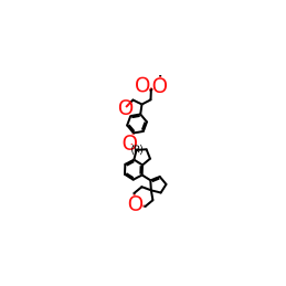 COC(=O)CC1COc2cc(O[C@@H]3CCc4c(C5=CCCC56CCOCC6)cccc43)ccc21